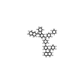 c1ccc(-c2ccc(N(c3ccc(-c4ccc5c(c4)N(c4ccccc4)c4cccc6cccc-5c46)cc3)c3ccc4c(c3)c3ccccc3n4-c3ccc4ccccc4c3)cc2)cc1